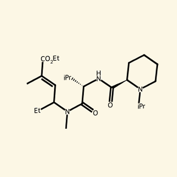 CCOC(=O)/C(C)=C/C(CC)N(C)C(=O)[C@@H](NC(=O)[C@H]1CCCCN1C(C)C)C(C)C